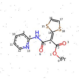 CC(C)OC(=O)C(C(=O)Nc1ccccn1)=C1SC=CS1